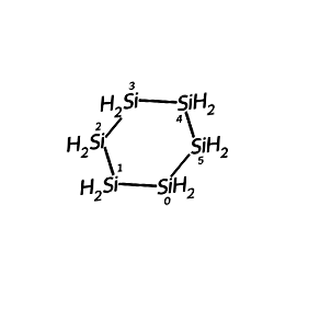 [SiH2]1[SiH2][SiH2][SiH2][SiH2][SiH2]1